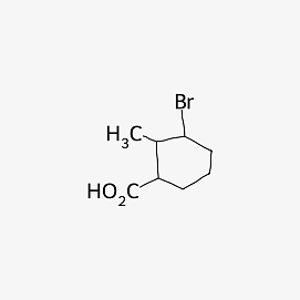 CC1C(Br)CCCC1C(=O)O